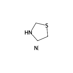 C1CSCN1.[N]